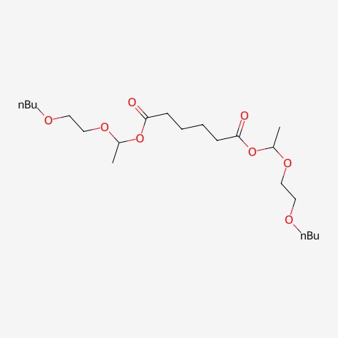 CCCCOCCOC(C)OC(=O)CCCCC(=O)OC(C)OCCOCCCC